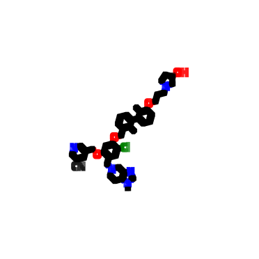 Cc1c(COc2cc(OCc3cncc(C#N)c3)c(CN3CCc4c(ncn4C)C3)cc2Cl)cccc1-c1cccc(OCCCN2CC[C@@H](O)C2)c1C